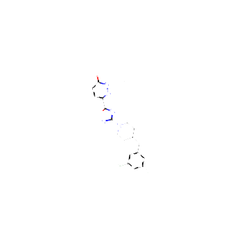 Cn1nc(-c2nc(N3CCC(Cc4cc(Cl)cc(Cl)c4)CC3)no2)ccc1=O